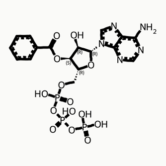 Nc1ncnc2c1ncn2[C@@H]1O[C@H](COP(=O)(O)OP(=O)(O)OP(=O)(O)O)[C@@H](OC(=O)c2ccccc2)[C@H]1O